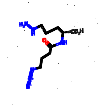 [N-]=[N+]=NCCCC(=O)N[C@@H](CCCNN)C(=O)O